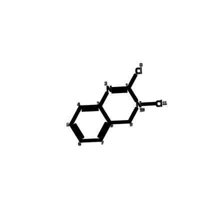 ClC1=Nc2ccccc2CN1Cl